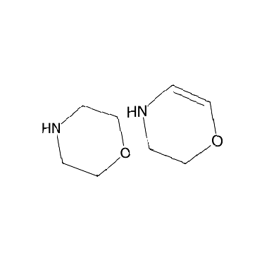 C1=COCCN1.C1COCCN1